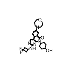 O=c1c2cc(N3CCCOCCC3)ccc2c2cnc(NC3CC(F)(F)C3)nc2n1C1CCC(O)CC1